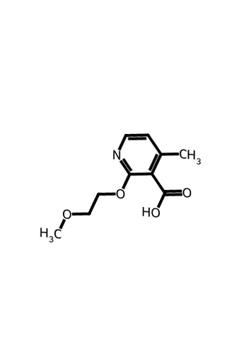 COCCOc1nccc(C)c1C(=O)O